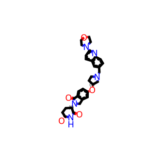 O=C1CC[C@H](N2Cc3cc(O[C@H]4CCN(Cc5ccc6nc(N7CCOCC7)ccc6c5)C4)ccc3C2=O)C(=O)N1